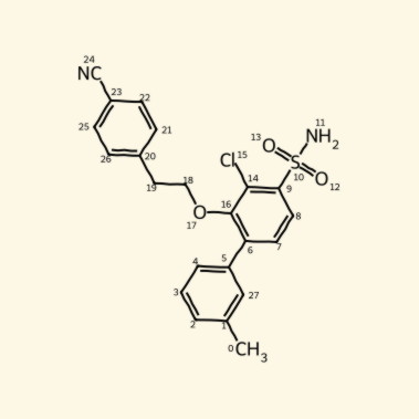 Cc1cccc(-c2ccc(S(N)(=O)=O)c(Cl)c2OCCc2ccc(C#N)cc2)c1